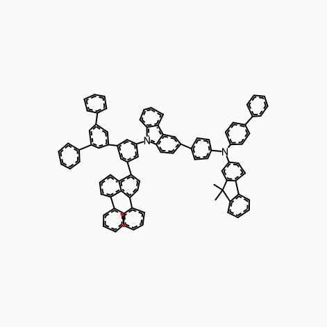 CC1(C)c2ccccc2-c2ccc(N(c3ccc(-c4ccccc4)cc3)c3ccc(-c4ccc5c(c4)c4ccccc4n5-c4cc(-c5cc(-c6ccccc6)cc(-c6ccccc6)c5)cc(-c5ccc(-c6ccccc6)c6c(-c7ccccc7)cccc56)c4)cc3)cc21